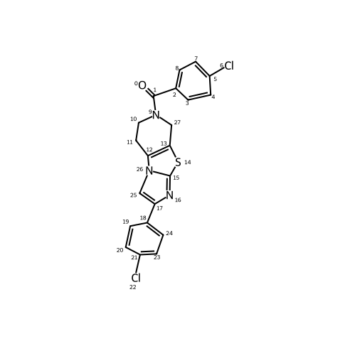 O=C(c1ccc(Cl)cc1)N1CCc2c(sc3nc(-c4ccc(Cl)cc4)cn23)C1